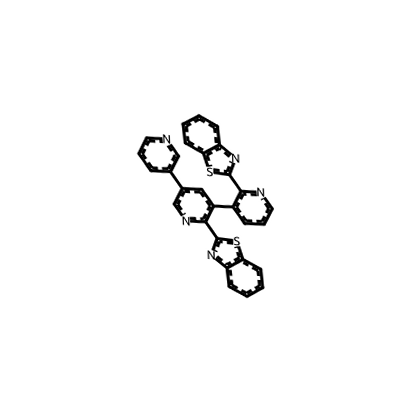 c1cncc(-c2cnc(-c3nc4ccccc4s3)c(-c3cccnc3-c3nc4ccccc4s3)c2)c1